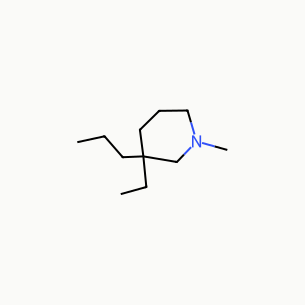 CCCC1(CC)CCCN(C)C1